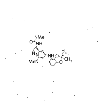 CNC(=O)Nc1cnn2c(NC)cc(Nc3cccc4c3OC(C)(C)O4)nc12